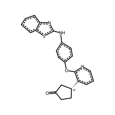 O=C1CC[C@@H](c2cccnc2Oc2ccc(Nc3nc4ccccc4s3)cc2)C1